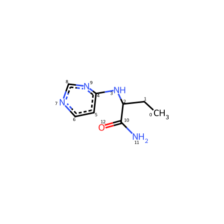 CCC(Nc1ccncn1)C(N)=O